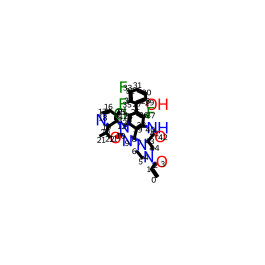 C=CC(=O)N1CCN2c3nc(=O)n(-c4c(C)ccnc4C(C)C)c4c(Cl)c(-c5c(O)ccc(F)c5F)c(F)c(c34)NC(=O)C2C1